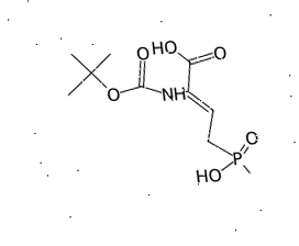 CC(C)(C)OC(=O)N/C(=C\CP(C)(=O)O)C(=O)O